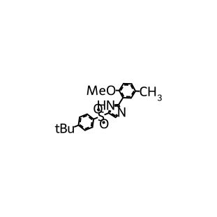 COc1ccc(C)cc1-c1ncc(S(=O)(=O)c2ccc(C(C)(C)C)cc2)[nH]1